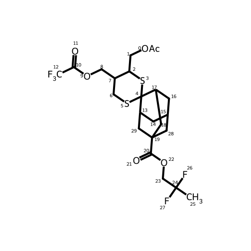 CC(=O)OCC1SC2(SCC1COC(=O)C(F)(F)F)C1CC3CC2CC(C(=O)OCC(C)(F)F)(C3)C1